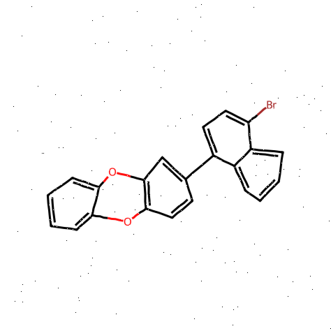 Brc1ccc(-c2ccc3c(c2)Oc2ccccc2O3)c2ccccc12